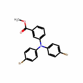 COC(=O)c1cccc(N(c2ccc(Br)cc2)c2ccc(Br)cc2)c1